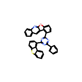 c1ccc(-c2nc(-c3cccc4oc5nc6ccccc6cc5c34)nc(-c3cccc4sc5ccccc5c34)n2)cc1